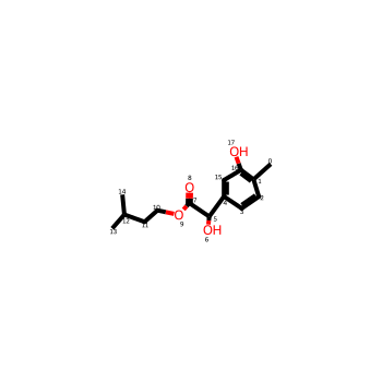 Cc1ccc(C(O)C(=O)OCCC(C)C)cc1O